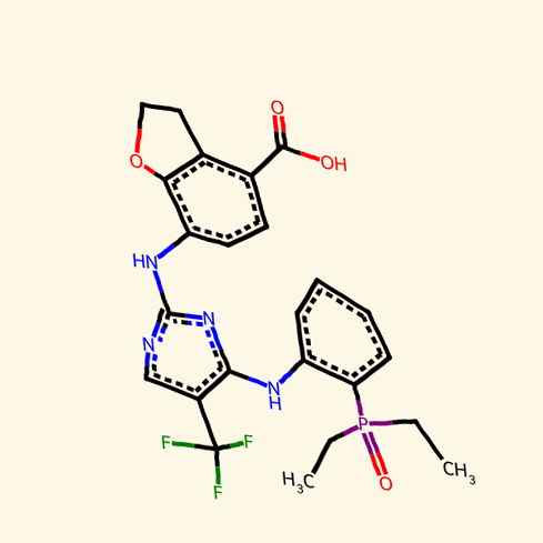 CCP(=O)(CC)c1ccccc1Nc1nc(Nc2ccc(C(=O)O)c3c2OCC3)ncc1C(F)(F)F